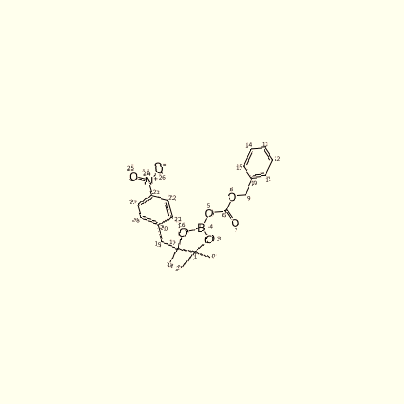 CC1(C)OB(OC(=O)OCc2ccccc2)OC1(C)Cc1ccc([N+](=O)[O-])cc1